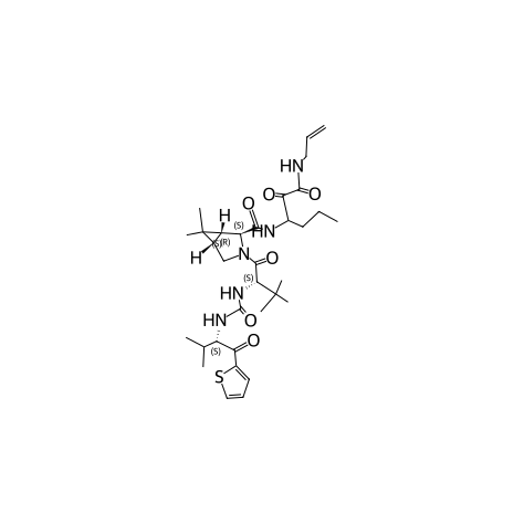 C=CCNC(=O)C(=O)C(CCC)NC(=O)[C@@H]1[C@@H]2[C@H](CN1C(=O)[C@@H](NC(=O)N[C@H](C(=O)c1cccs1)C(C)C)C(C)(C)C)C2(C)C